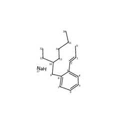 CC=Cc1ccccc1CC(CC)CCCC.[NaH]